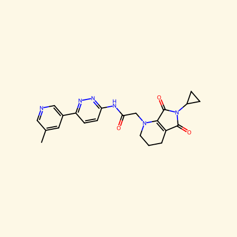 Cc1cncc(-c2ccc(NC(=O)CN3CCCC4=C3C(=O)N(C3CC3)C4=O)nn2)c1